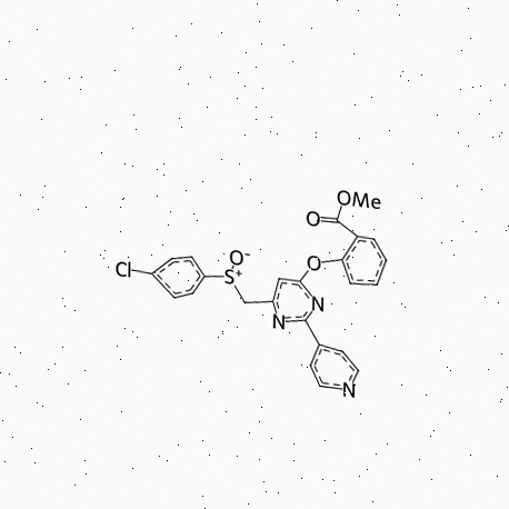 COC(=O)c1ccccc1Oc1cc(C[S+]([O-])c2ccc(Cl)cc2)nc(-c2ccncc2)n1